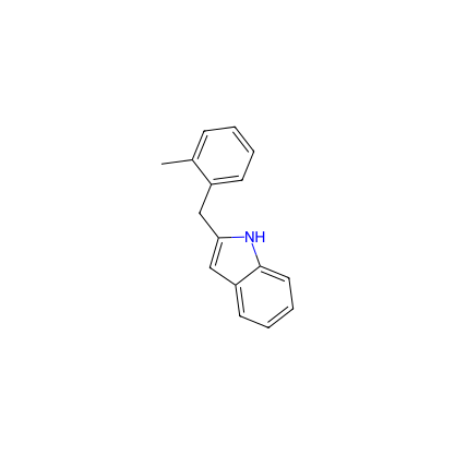 Cc1ccccc1Cc1cc2ccccc2[nH]1